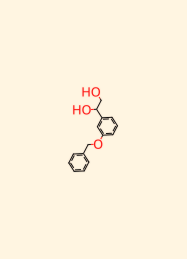 OCC(O)c1cccc(OCc2ccccc2)c1